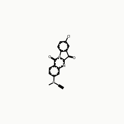 C#CN(C)c1ccc2c(=O)n3c(nc2c1)C(=O)c1cc(Cl)ccc1-3